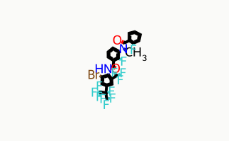 CN(C(=O)c1ccccc1F)c1cccc(C(=O)Nc2c(Br)cc(C(F)(C(F)(F)F)C(F)(F)F)cc2C(F)(F)F)c1F